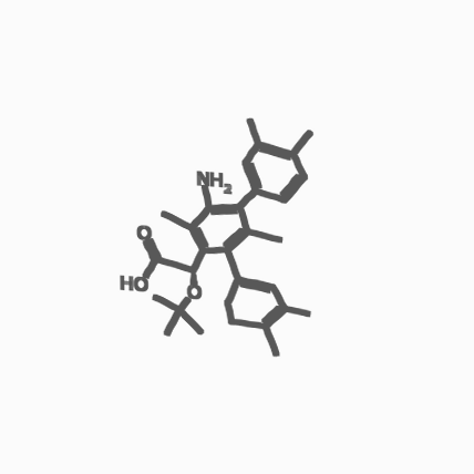 CC1=C(C)CCC(c2c(C)c(-c3ccc(C)c(C)c3)c(N)c(C)c2[C@@H](OC(C)(C)C)C(=O)O)=C1